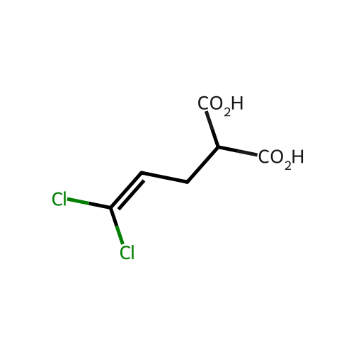 O=C(O)C(CC=C(Cl)Cl)C(=O)O